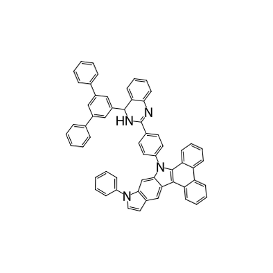 c1ccc(-c2cc(-c3ccccc3)cc(C3NC(c4ccc(-n5c6cc7c(ccn7-c7ccccc7)cc6c6c7ccccc7c7ccccc7c65)cc4)=Nc4ccccc43)c2)cc1